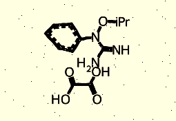 CC(C)ON(C(=N)N)c1ccccc1.O=C(O)C(=O)O